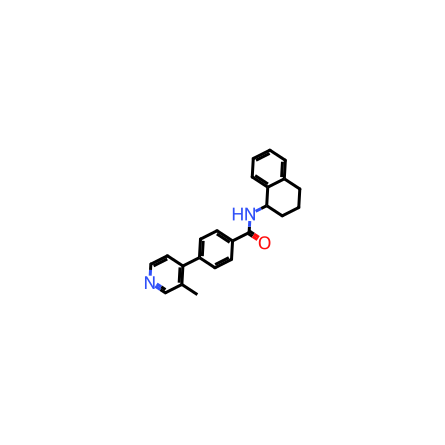 Cc1cnccc1-c1ccc(C(=O)NC2CCCc3ccccc32)cc1